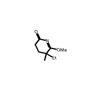 CCC1(C)CCC(=O)N=C1OC